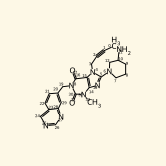 CC#CCn1c(N2CCCC(N)C2)nc2c1c(=O)n(Cc1ccc3cncnc3c1)c(=O)n2C